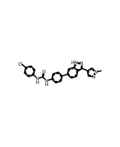 Cn1cc(-c2n[nH]c3cc(-c4ccc(NC(=O)Nc5ccc(Cl)cc5)cc4)ccc23)cn1